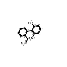 NCc1ccccc1-c1c(N)cccc1O